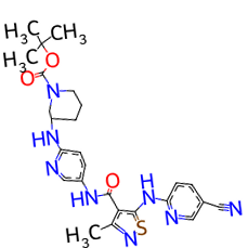 Cc1nsc(Nc2ccc(C#N)cn2)c1C(=O)Nc1ccc(NC2CCCN(C(=O)OC(C)(C)C)C2)nc1